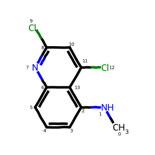 CNc1cccc2nc(Cl)cc(Cl)c12